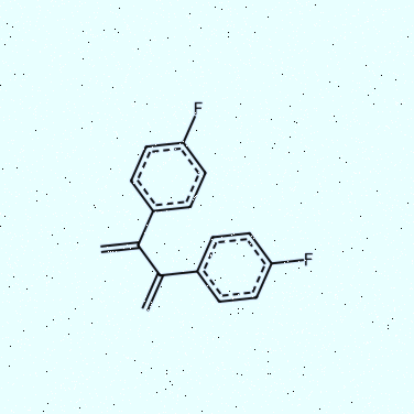 C=C(C(=C)c1ccc(F)cc1)c1ccc(F)cc1